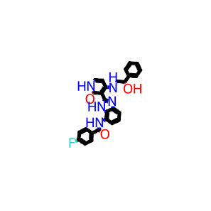 O=C(Nc1cccc2nc(-c3c(NCC(O)c4ccccc4)cc[nH]c3=O)[nH]c12)c1ccc(F)cc1